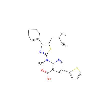 CC(C)Cc1sc(N(C)c2ncc(-c3cccs3)cc2C(=O)O)nc1C1=CCCCC1